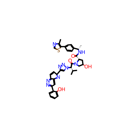 Cc1ncsc1-c1ccc([C@H](C)NC(=O)[C@@H]2C[C@@H](O)CN2C(=O)[C@H](C(C)C)n2cc(-c3ccc4nnc(-c5ccccc5O)cc4n3)nn2)cc1